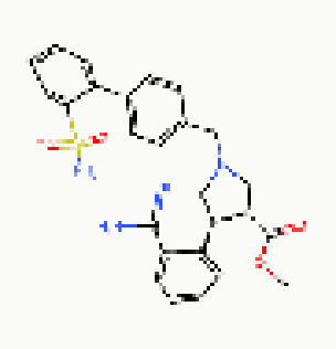 COC(=O)[C@H]1CN(Cc2ccc(-c3ccccc3S(N)(=O)=O)cc2)C[C@@H]1c1ccccc1C(=N)N